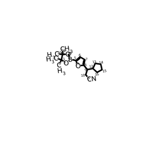 CC1(C)OB(c2ccc(C(CC#N)C3CCCC3)o2)OC1(C)C